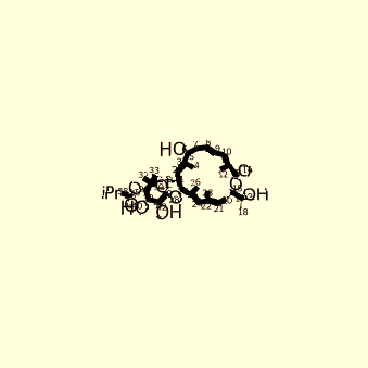 CC[C@H]1/C=C(\C)[C@@H](O)C/C=C/C=C(\C)C(=O)O[C@H]([C@@H](C)O)C/C=C(C)/C=C(\C)[C@@H]1O[C@@H]1OC(C)(C)[C@@H](OC(=O)C(C)C)[C@H](O)[C@@H]1O